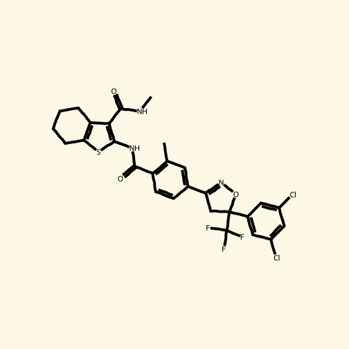 CNC(=O)c1c(NC(=O)c2ccc(C3=NOC(c4cc(Cl)cc(Cl)c4)(C(F)(F)F)C3)cc2C)sc2c1CCCC2